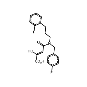 O=C(O)C(O)=CC(=O)N(CCCc1ccccc1F)Cc1ccc(F)cc1